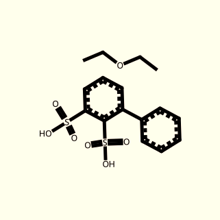 CCOCC.O=S(=O)(O)c1cccc(-c2ccccc2)c1S(=O)(=O)O